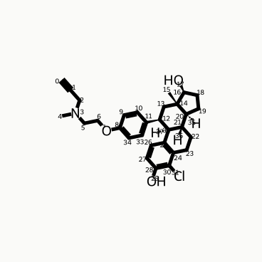 C#CCN(C)CCOc1ccc([C@H]2C[C@]3(C)[C@@H](O)CC[C@H]3[C@@H]3CCc4c(ccc(O)c4Cl)[C@H]32)cc1